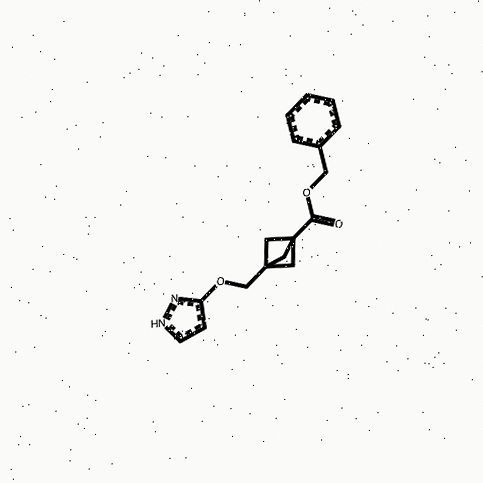 O=C(OCc1ccccc1)C12CC(COc3cc[nH]n3)(C1)C2